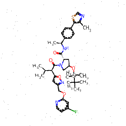 Cc1ncsc1-c1ccc([C@H](C)NC(=O)[C@@H]2CC(O[Si](C)(C)C(C)(C)C)CN2C(=O)C(c2cc(COc3cc(F)ccn3)no2)C(C)C)cc1